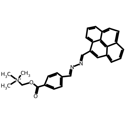 C[N+](C)(C)COC(=O)c1ccc(/C=N/N=C/c2cc3cccc4ccc5cccc2c5c43)cc1